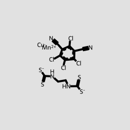 N#Cc1c(Cl)c(Cl)c(Cl)c(C#N)c1Cl.S=C([S-])NCCNC(=S)[S-].[Cu].[Mn+2]